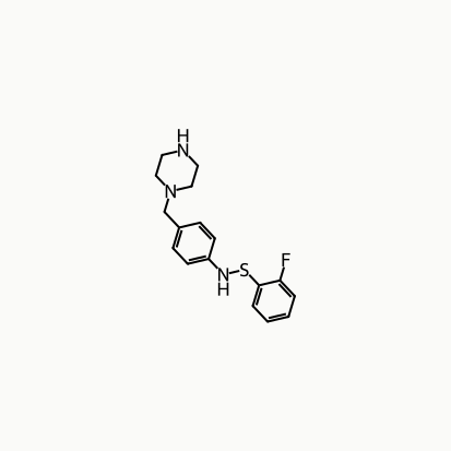 Fc1ccccc1SNc1ccc(CN2CCNCC2)cc1